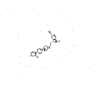 Cc1ccn(-c2ccc(N3CCN(CCc4c[nH]c5ccc(C#N)cc45)CC3)cc2)c(=O)c1